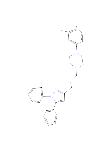 Clc1ccc(N2CCN(CCCc3cc(-c4ccccc4)n(-c4ccccc4)n3)CC2)cc1Cl